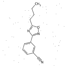 CCCCc1nc(-c2cccc(C#N)c2)no1